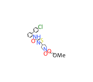 COCCOC(=O)N1CCC(c2nc(C(=O)Nc3ccccc3-c3ccc(Cl)cc3)cs2)CC1